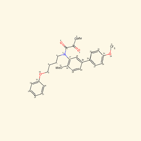 COC(=O)C(=O)N(CCCCOc1ccccc1)c1cc(-c2ccc(OC(F)(F)F)cc2)ccc1OC